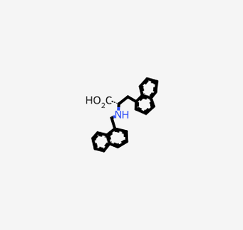 O=C(O)[C@H](Cc1cccc2ccccc12)NCc1cccc2ccccc12